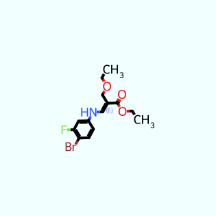 CCOC/C(=C\Nc1ccc(Br)c(F)c1)C(=O)OCC